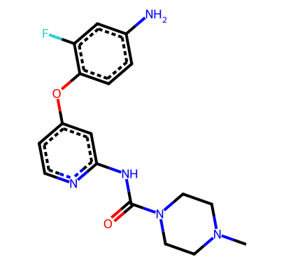 CN1CCN(C(=O)Nc2cc(Oc3ccc(N)cc3F)ccn2)CC1